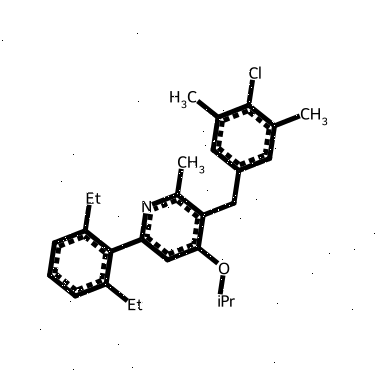 CCc1cccc(CC)c1-c1cc(OC(C)C)c(Cc2cc(C)c(Cl)c(C)c2)c(C)n1